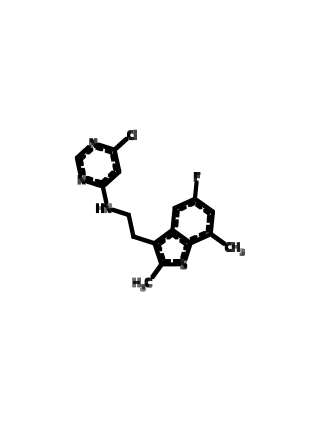 Cc1sc2c(C)cc(F)cc2c1CCNc1cc(Cl)ncn1